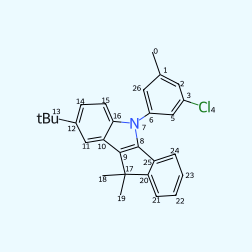 Cc1cc(Cl)cc(-n2c3c(c4cc(C(C)(C)C)ccc42)C(C)(C)c2ccccc2-3)c1